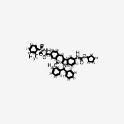 COc1cc(C(=O)NS(=O)(=O)c2ccccc2C)ccc1Cc1cn(C(c2ccccc2)c2ccccc2)c2ccc(NC(=O)OC3CCCC3)cc12